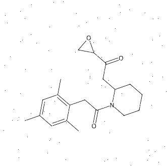 Cc1cc(C)c(CC(=O)N2CCCCC2CC(=O)C2CO2)c(C)c1